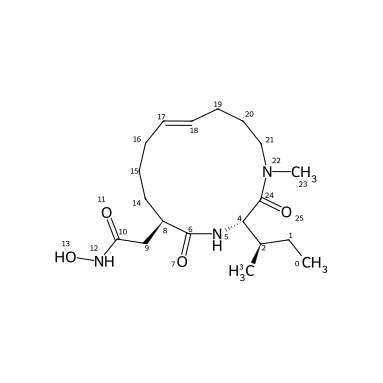 CC[C@@H](C)[C@@H]1NC(=O)[C@@H](CC(=O)NO)CCC/C=C/CCCN(C)C1=O